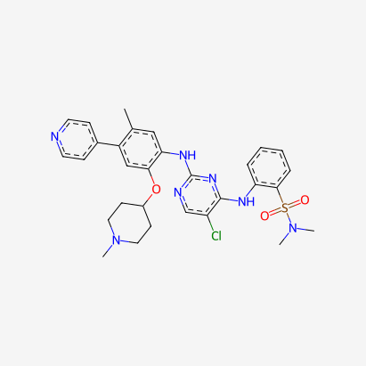 Cc1cc(Nc2ncc(Cl)c(Nc3ccccc3S(=O)(=O)N(C)C)n2)c(OC2CCN(C)CC2)cc1-c1ccncc1